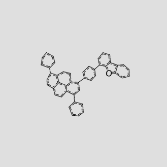 c1ccc(-c2ccc3ccc4c(-c5ccccc5)cc(-c5ccc(-c6cccc7c6oc6ccccc67)cc5)c5ccc2c3c45)cc1